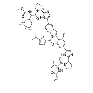 COC(=O)NC(C(=O)N1CCC[C@H]1c1ncc(-c2ccc3c(c2)cc2n3C(c3cnc(C(C)C)s3)Oc3cc(-c4cnc(C5CCCN5C(=O)[C@@H](NC(=O)OC)C(C)C)[nH]4)cc(F)c3-2)[nH]1)C1C[C@@H](C)O[C@@H](C)C1